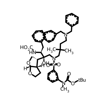 CN(C(=O)OC(C)(C)C)c1cccc(S(=O)(=O)N(CC(C)(C)CCN(Cc2ccccc2)Cc2ccccc2)C[C@@](O)([C@H](Cc2ccccc2)NC(=O)O)[C@H]2CO[C@H]3OCC[C@H]32)c1